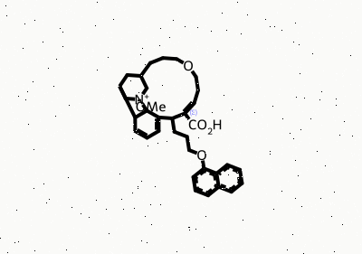 CO[N+]12CC3CCCOCC/C=C(/C(=O)O)C(CCCOc4cccc5ccccc45)C4=CC=CC(C(C3)C1)C42